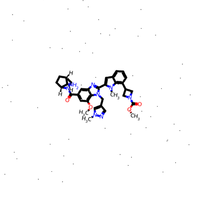 COC(=O)N1CC(c2cccc3cc(-c4nc5cc(C(=O)N6C[C@H]7CC[C@@H]6[C@@H]7N)cc(OC)c5n4Cc4cnn(C)c4)n(C)c23)C1